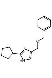 c1ccc(COCc2c[nH]c(C3CCCC3)n2)cc1